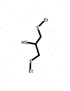 CCSCC(S)CSCC